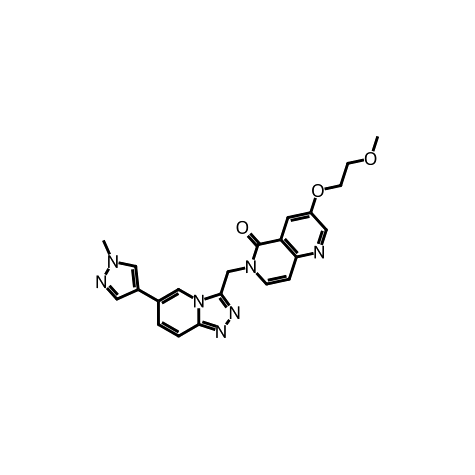 COCCOc1cnc2ccn(Cc3nnc4ccc(-c5cnn(C)c5)cn34)c(=O)c2c1